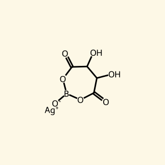 O=C1OB([O-])OC(=O)C(O)C1O.[Ag+]